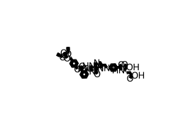 C#COP(=O)(OC#C)OCc1ccc(OC(=O)c2ccccc2Nc2nc(=O)c3nc(CNc4ccc(C(=O)N[C@@H](CCC(=O)O)C(=O)O)cc4)cnc3[nH]2)cc1